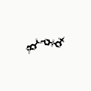 O=C(NCc1ccc(S(=O)(=O)c2cncc(C(F)(F)F)c2)cn1)c1cnc2[nH]ncc2c1